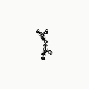 Cc1cccc(-c2ccn(-c3cc(C4=CCCOCC4)nc(OCC4CCC(c5cc(C)cc(-c6ccn(-c7cc(C8=CCOCCC8)nc(OCC8CCCO8)n7)n6)c5)O4)n3)n2)c1